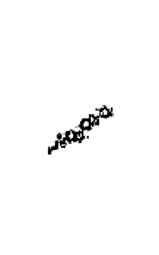 CCCCS(=O)(=O)c1cnc2c(ccn2-c2ccc3nc(N4CCOCC4)nn3c2)c1